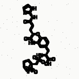 CC1(C)C2CC[C@]1(CS(=O)(=O)N[C@@H](Cc1ccc3c(c1)NC(=O)[C@@H](CCC(=O)Nc1ncc[nH]1)O3)C(=O)O)C(=O)C2